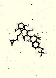 CS(=O)(=O)Nc1ccc2c(c1)S(=O)(=O)N=C(C1=C(O)C3C([C@@H]4CC[C@H]3C4)N(CCC3CC3)C1=O)N2